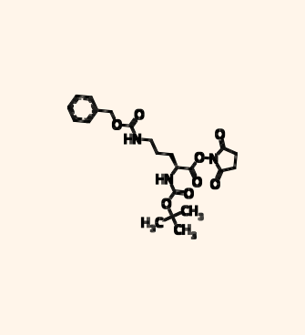 CC(C)(C)OC(=O)N[C@@H](CCCNC(=O)OCc1ccccc1)C(=O)ON1C(=O)CCC1=O